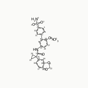 NS(=O)(=O)c1ccc(-c2cc(NC(=O)C3(c4ccc5c(c4)OCO5)CC3)ccc2OC(F)(F)F)cc1